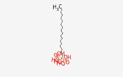 CCCCCCCCCCCCCCCCCCC(O)(P(=O)(O)O)P(=O)(O)O